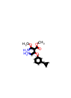 COC(=O)C(=C(/N)OC)/C(=C\N)Oc1cccc(C2CC2)c1